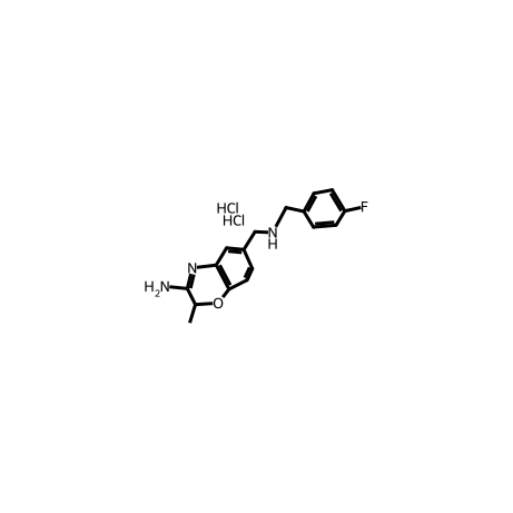 CC1Oc2ccc(CNCc3ccc(F)cc3)cc2N=C1N.Cl.Cl